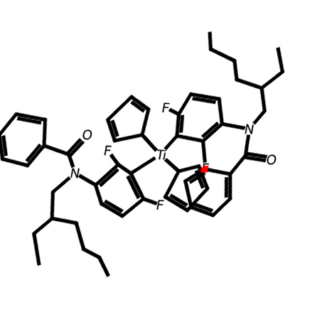 CCCCC(CC)CN(C(=O)c1ccccc1)c1ccc(F)[c]([Ti]([c]2c(F)ccc(N(CC(CC)CCCC)C(=O)c3ccccc3)c2F)([CH]2C=CC=C2)[CH]2C=CC=C2)c1F